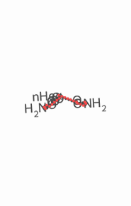 CCCCCC[C@H](CCCCCCCCCCC(=O)OCCc1ccc(N)cc1)OC(=O)COCC(=O)OCCc1ccc(N)cc1